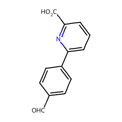 O=Cc1ccc(-c2cccc(C(=O)O)n2)cc1